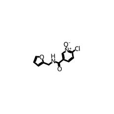 O=C(NCc1ccco1)c1ccc(Cl)[n+]([O-])c1